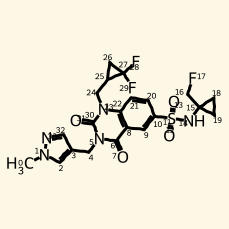 Cn1cc(Cn2c(=O)c3cc(S(=O)(=O)NC4(CF)CC4)ccc3n(CC3CC3(F)F)c2=O)cn1